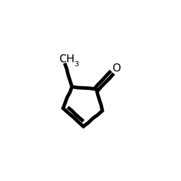 CC1C=CCC1=O